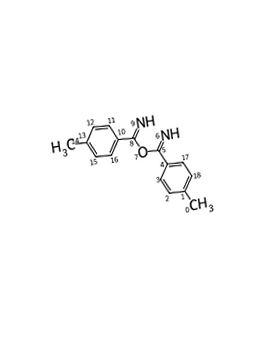 Cc1ccc(C(=N)OC(=N)c2ccc(C)cc2)cc1